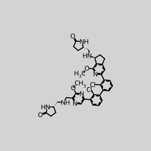 COc1nc(-c2cccc(-c3cccc(-c4cc5c(c(OC)n4)[C@@H](NC[C@@H]4CCC(=O)N4)CC5)c3Cl)c2Cl)cnc1CNC[C@@H]1CCC(=O)N1